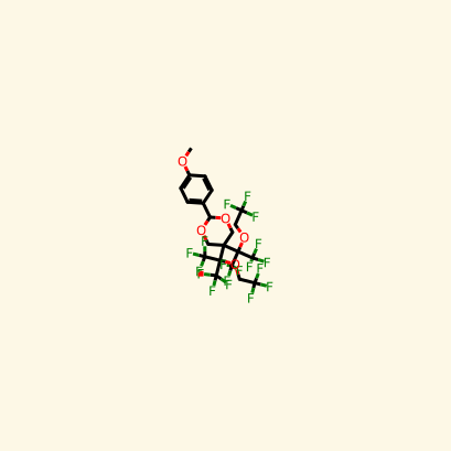 COc1ccc(C2OCC(C(OCC(F)(F)F)(C(F)(F)F)C(F)(F)F)(C(OCC(F)(F)F)(C(F)(F)F)C(F)(F)F)CO2)cc1